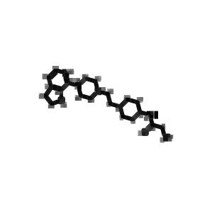 CC(C)CC(=O)NC1CCC(CCN2CCN(c3nccc4c3OCC4)CC2)CC1